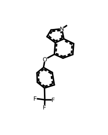 Cn1ccc2c(Oc3ccc(C(F)(F)F)cc3)cccc21